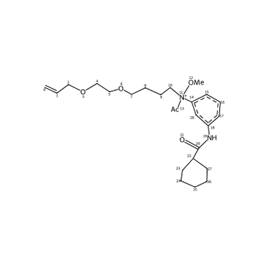 C=CCOCCOCCCC[N+](OC)(C(C)=O)c1cccc(NC(=O)C2CCCCC2)c1